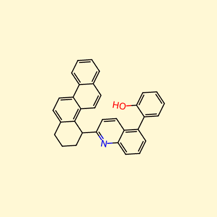 Oc1ccccc1-c1cccc2nc(C3CCCc4ccc5c(ccc6ccccc65)c43)ccc12